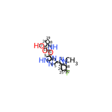 Cn1nc(-c2cnc3[nH]cc(OC(=O)NC4(CO)CCC4)c3n2)c2ccc(F)cc21